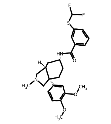 COc1ccc([C@@]23CC[C@@H](NC(=O)c4cccc(SC(F)F)c4)C[C@@H]2CN(C)C3)cc1OC